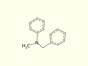 CN(Cc1ccccc1)c1cc[c]cc1